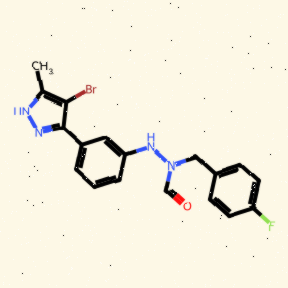 Cc1[nH]nc(-c2cccc(NN(C=O)Cc3ccc(F)cc3)c2)c1Br